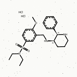 CCN(CC)S(=O)(=O)c1ccc(OC)c(CN[C@@H]2CCCN[C@@H]2c2ccccc2)c1.Cl.Cl